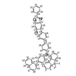 CC1(C)c2ccccc2-c2c(N(c3ccc(-c4ccc5c(c4)oc4cc6oc(-c7ccccc7)nc6cc45)cc3)c3ccc(-c4cccc5ccccc45)cc3)cccc21